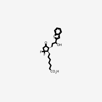 O=C(O)CCCCCC[C@@H]1[C@@H](CCC(O)c2cc3ccccc3s2)C(=O)CC1(F)F